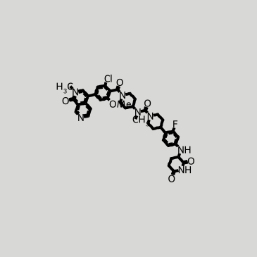 COc1cc(-c2cn(C)c(=O)c3cnccc23)cc(Cl)c1C(=O)N1CCC(N(C)C(=O)N2CCC(c3ccc(NC4CCC(=O)NC4=O)cc3F)CC2)CC1